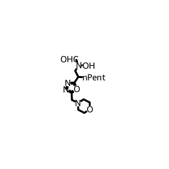 CCCCCC(CN(O)C=O)c1nnc(CN2CCOCC2)o1